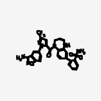 Nc1noc2ccc(-n3nc(C(F)(F)F)cc3C(=O)N3CCCNc4cc(-c5ccccc5S(N)(=O)=O)ccc43)cc12